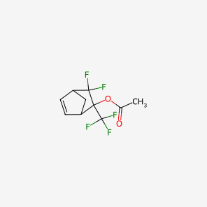 CC(=O)OC1(C(F)(F)F)C2C=CC(C2)C1(F)F